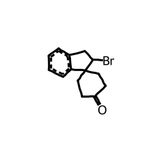 O=C1CCC2(CC1)c1ccccc1CC2Br